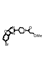 COCCC(=O)N1CCC(c2ncc3oc4ccc(Br)cc4c3n2)CC1